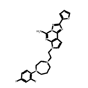 Nc1nc2c(ccn2CCN2CCCN(c3ccc(F)cc3F)CC2)c2nc(-c3ccco3)nn12